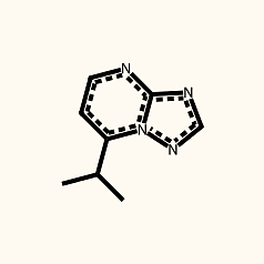 CC(C)c1ccnc2ncnn12